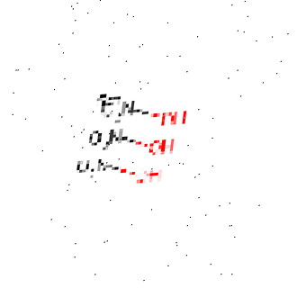 O=[N+]([O-])O.O=[N+]([O-])O.O=[N+]([O-])O.[Sm]